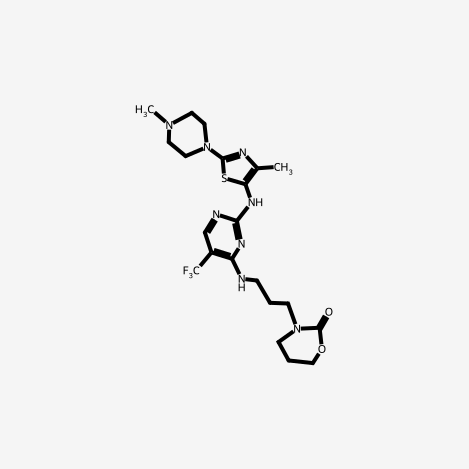 Cc1nc(N2CCN(C)CC2)sc1Nc1ncc(C(F)(F)F)c(NCCCN2CCCOC2=O)n1